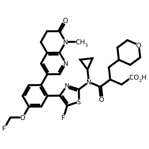 CN1C(=O)CCc2cc(-c3ccc(OCF)cc3-c3nc(N(C(=O)C(CC(=O)O)CC4CCOCC4)C4CC4)sc3F)cnc21